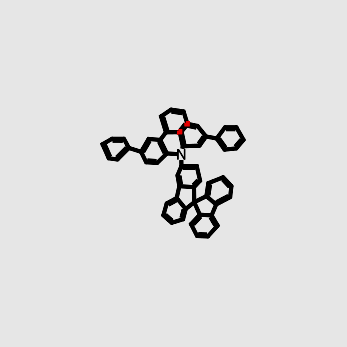 c1ccc(-c2cccc(N(c3ccc4c(c3)-c3ccccc3C43c4ccccc4-c4ccccc43)c3ccc(-c4ccccc4)cc3-c3ccccc3)c2)cc1